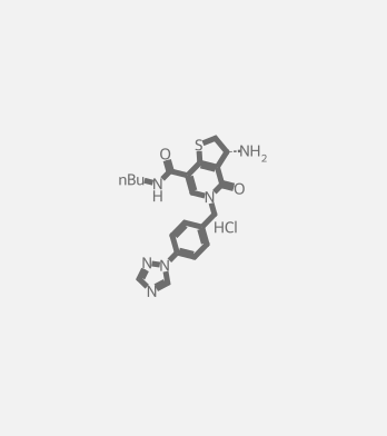 CCCCNC(=O)c1cn(Cc2ccc(-n3cncn3)cc2)c(=O)c2c1SC[C@@H]2N.Cl